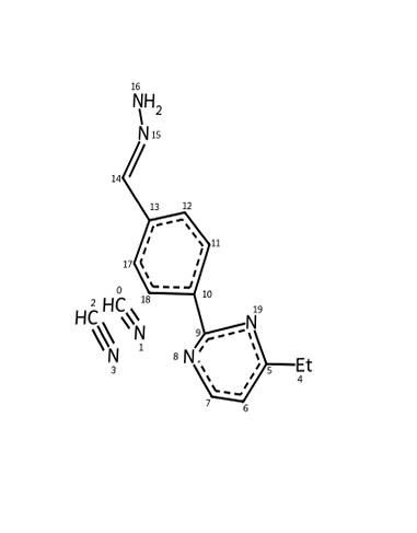 C#N.C#N.CCc1ccnc(-c2ccc(C=NN)cc2)n1